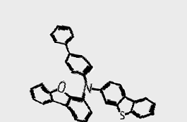 c1ccc(-c2ccc(N(c3ccc4c(c3)sc3ccccc34)c3cccc4c3oc3ccccc34)cc2)cc1